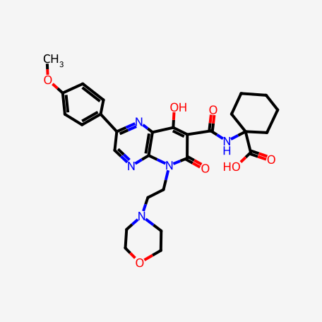 COc1ccc(-c2cnc3c(n2)c(O)c(C(=O)NC2(C(=O)O)CCCCC2)c(=O)n3CCN2CCOCC2)cc1